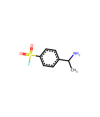 CC(N)c1ccc(S(=O)(=O)F)cc1